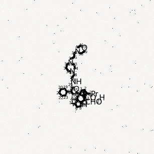 CC(C)C1=CC2CC3(C=O)[C@@H]4CC[C@@H](C)[C@H]4CC2([C@H]2C[C@@H](C4CCCCC4)[C@H](CNCCN4CCCN(CCCN5CCOCC5)CC4)O2)[C@]13C(=O)O